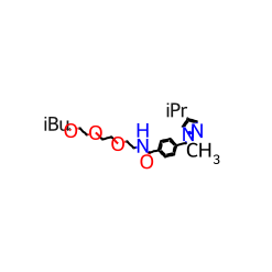 CCC(C)OCCOCCOCCNC(=O)c1ccc(C(C)n2cc(C(C)C)cn2)cc1